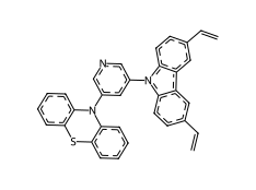 C=Cc1ccc2c(c1)c1cc(C=C)ccc1n2-c1cncc(N2c3ccccc3Sc3ccccc32)c1